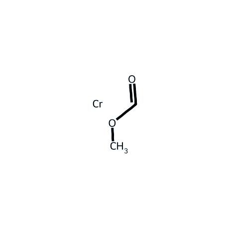 COC=O.[Cr]